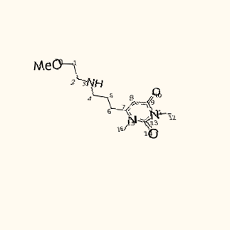 COCCNCCCc1cc(=O)n(C)c(=O)n1C